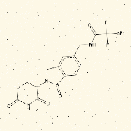 CCCC(F)(F)C(=O)NCc1ccc2c(c1)CN(C1CCC(=O)NC1=O)C2=O